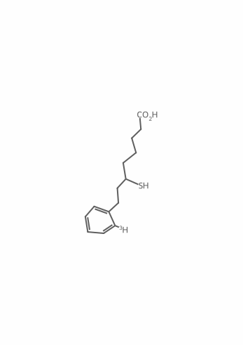 [3H]c1ccccc1CCC(S)CCCCC(=O)O